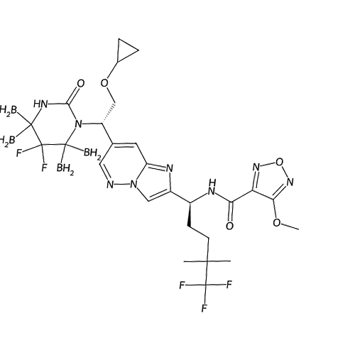 BC1(B)NC(=O)N([C@H](COC2CC2)c2cnn3cc([C@H](CCC(C)(C)C(F)(F)F)NC(=O)c4nonc4OC)nc3c2)C(B)(B)C1(F)F